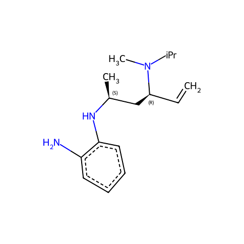 C=C[C@@H](C[C@H](C)Nc1ccccc1N)N(C)C(C)C